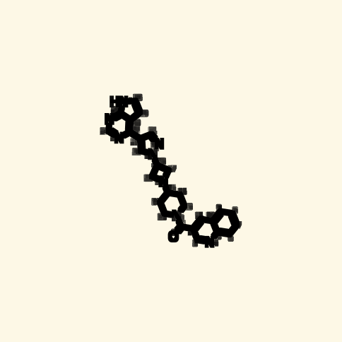 O=C(c1cnc2ccccc2c1)N1CCC(N2C[C](n3cc(-c4ncnc5[nH]ccc45)cn3)C2)CC1